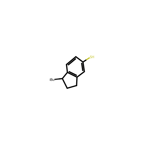 CCC(C)C1CCc2cc(S)ccc21